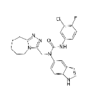 O=C(Nc1ccc(F)c(Cl)c1)N(Cc1nnc2n1CCCCC2)c1ccc2[nH]ccc2c1